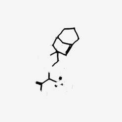 CC(=O)C(OCC1(C)C=C2CCCC(C2)C1)S(=O)(=O)O